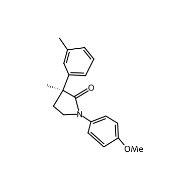 COc1ccc(N2CC[C@@](C)(c3cccc(C)c3)C2=O)cc1